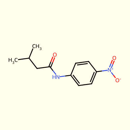 CC(C)CC(=O)Nc1ccc([N+](=O)[O-])cc1